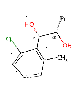 Cc1cccc(Cl)c1[C@H](O)[C@@H](O)C(C)C